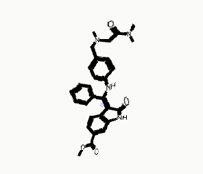 COC(=O)c1ccc2c(c1)NC(=O)/C2=C(\Nc1ccc(CN(C)CC(=O)N(C)C)cc1)c1ccccc1